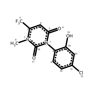 Cn1c(C(F)(F)F)cc(=O)n(-c2ccc(Cl)cc2O)c1=O